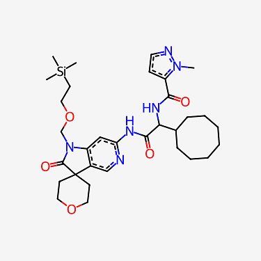 Cn1nccc1C(=O)NC(C(=O)Nc1cc2c(cn1)C1(CCOCC1)C(=O)N2COCC[Si](C)(C)C)C1CCCCCCC1